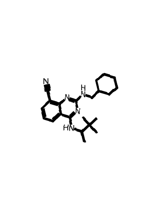 CC(Nc1nc(NCC2CCCCC2)nc2c(C#N)cccc12)C(C)(C)C